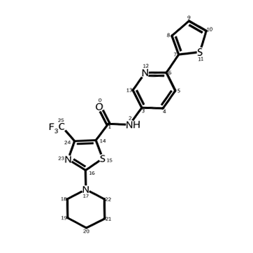 O=C(Nc1ccc(-c2cccs2)nc1)c1sc(N2CCCCC2)nc1C(F)(F)F